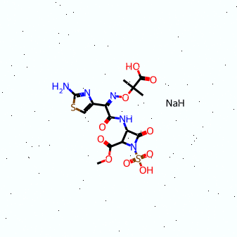 COC(=O)C1C(NC(=O)/C(=N\OC(C)(C)C(=O)O)c2csc(N)n2)C(=O)N1S(=O)(=O)O.[NaH]